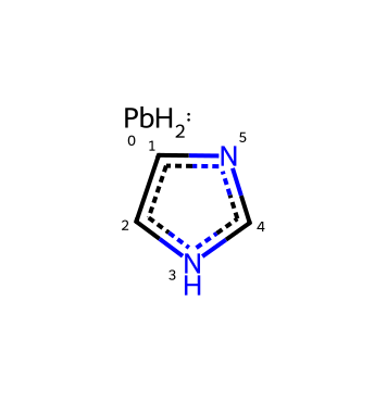 [PbH2].c1c[nH]cn1